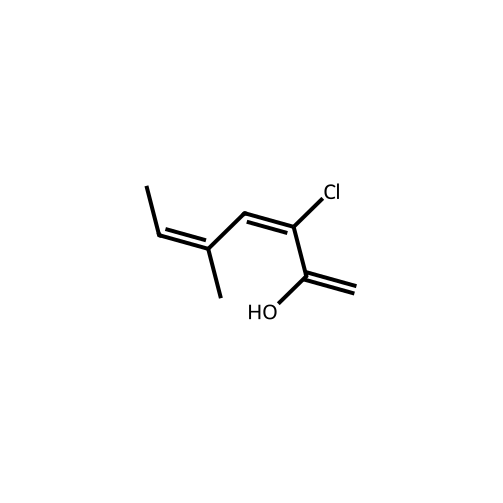 C=C(O)/C(Cl)=C\C(C)=C/C